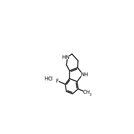 Cc1ccc(F)c2c3c([nH]c12)CCNC3.Cl